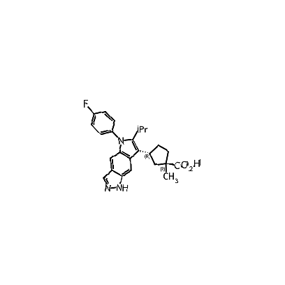 CC(C)c1c([C@@H]2CC[C@@](C)(C(=O)O)C2)c2cc3[nH]ncc3cc2n1-c1ccc(F)cc1